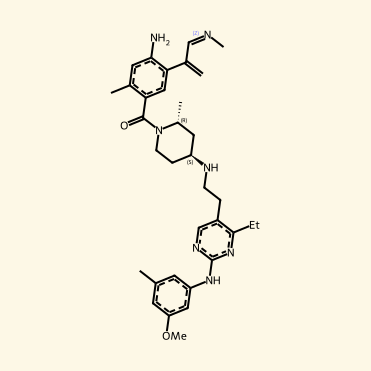 C=C(/C=N\C)c1cc(C(=O)N2CC[C@H](NCCc3cnc(Nc4cc(C)cc(OC)c4)nc3CC)C[C@H]2C)c(C)cc1N